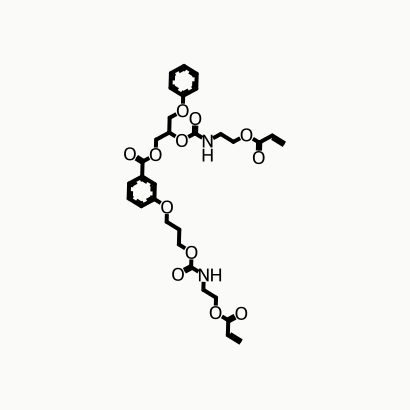 C=CC(=O)OCCNC(=O)OCCCOc1cccc(C(=O)OCC(COc2ccccc2)OC(=O)NCCOC(=O)C=C)c1